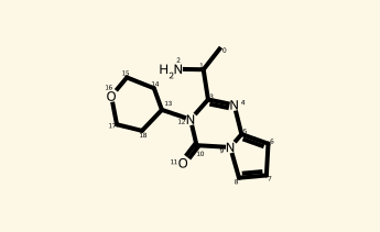 CC(N)c1nc2cccn2c(=O)n1C1CCOCC1